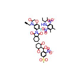 C#CCN1C(=O)COc2cc(F)c(N3C(=O)C4=C(CCCC4)C3=O)cc21.CCC(CC)Nc1c([N+](=O)[O-])cc(C)c(C)c1[N+](=O)[O-].CS(=O)(=O)c1ccc(C(=O)C2C(=O)CCCC2=O)c([N+](=O)[O-])c1